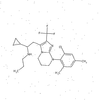 CCCNC(Cc1c(C(F)(F)F)nc2n1CCCN2c1c(C)cc(C)cc1Cl)C1CC1